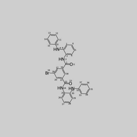 O=C(Nc1ccccc1Nc1ccccc1)c1cc(Br)cc(C(=O)Nc2ccccc2Nc2ccccc2)c1